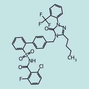 CCCCc1nn(-c2ccccc2C(F)(F)F)c(=O)n1Cc1ccc(-c2ccccc2S(=O)(=O)NC(=O)c2c(F)cccc2Cl)cc1